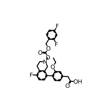 CCOc1cc(CC(=O)O)ccc1-c1ccc(F)c2c1CN(OC(=O)OCc1ccc(F)cc1F)CC2